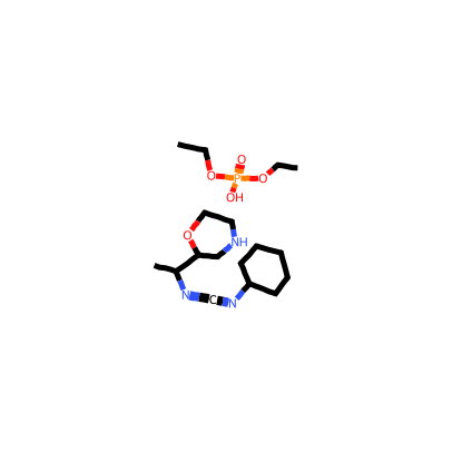 CC(N=C=NC1CCCCC1)C1CNCCO1.CCOP(=O)(O)OCC